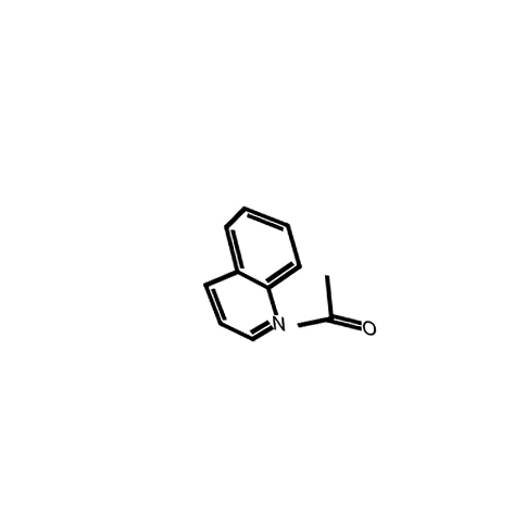 CC(C)=O.c1ccc2ncccc2c1